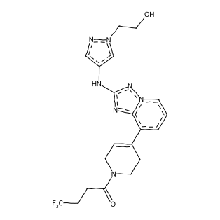 O=C(CCC(F)(F)F)N1CC=C(c2cccn3nc(Nc4cnn(CCO)c4)nc23)CC1